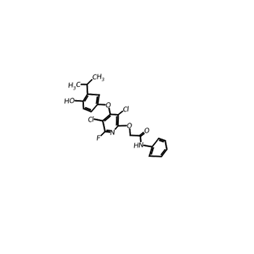 CC(C)c1cc(Oc2c(Cl)c(F)nc(OCC(=O)Nc3ccccc3)c2Cl)ccc1O